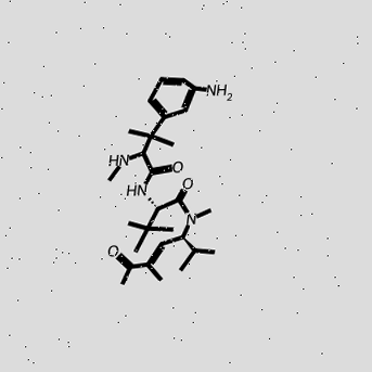 CNC(C(=O)N[C@H](C(=O)N(C)[C@H](/C=C(\C)C(C)=O)C(C)C)C(C)(C)C)C(C)(C)c1cccc(N)c1